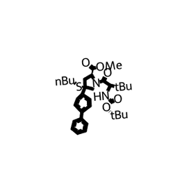 CCCCS[C@@]1(c2ccc(-c3ccccc3)cc2)C[C@@H](C(=O)OC)N(C(=O)C(NC(=O)OC(C)(C)C)C(C)(C)C)C1